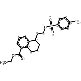 CCOC(=O)c1cccc2c1CCCC2CCOS(=O)(=O)c1ccc(C)cc1